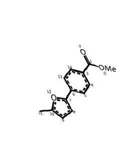 COC(=O)c1ccc(-c2ccc(C)o2)cc1